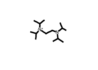 CC(C)N(CC[N+](C(C)C)C(C)C)C(C)C